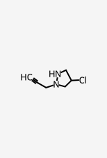 C#CCN1CC(Cl)CN1